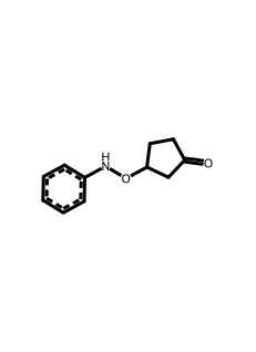 O=C1CCC(ONc2ccccc2)C1